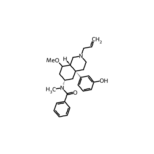 C=CCN1CC[C@@]2(c3cccc(O)c3)C[C@H](N(C)C(=O)c3ccccc3)CC(OC)[C@@H]2C1